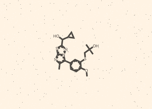 COc1ccc(-c2c(C)nc3sc(C(O)C4CC4)nn23)cc1SCC(C)(C)O